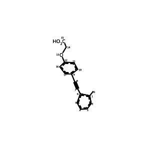 Cc1ccccc1C#Cc1ccc(OCC(=O)O)cc1